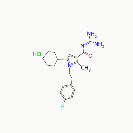 Cc1c(C(=O)N=C(N)N)cc(C2CCCCC2)n1CCc1ccc(F)cc1.Cl